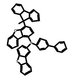 CC1(c2ccc(N(c3ccc(-c4ccccc4)cc3)c3ccc4sc5ccccc5c4c3)c3c2oc2ccccc23)c2ccccc2C2C=CC=CC21